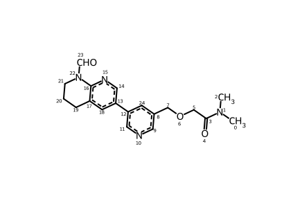 CN(C)C(=O)COCc1cncc(-c2cnc3c(c2)CCCN3C=O)c1